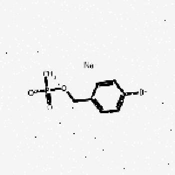 CP(=O)([O-])OCc1ccc(Br)cc1.[Na+]